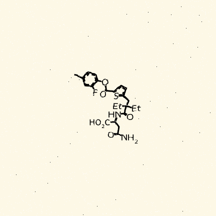 CCC(CC)(Cc1ccc(C(=O)Oc2ccc(C)cc2F)s1)C(=O)NC(CC(N)=O)C(=O)O